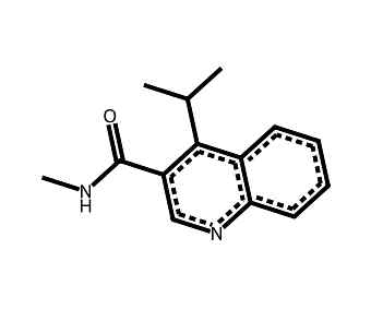 CNC(=O)c1cnc2ccccc2c1C(C)C